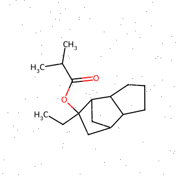 CCC1(OC(=O)C(C)C)CC2CC1C1CCCC21